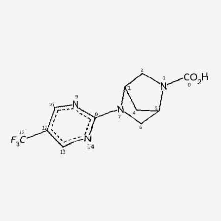 O=C(O)N1CC2CC1CN2c1ncc(C(F)(F)F)cn1